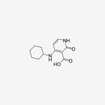 O=C(O)c1c(NC2CCCCC2)cc[nH]c1=O